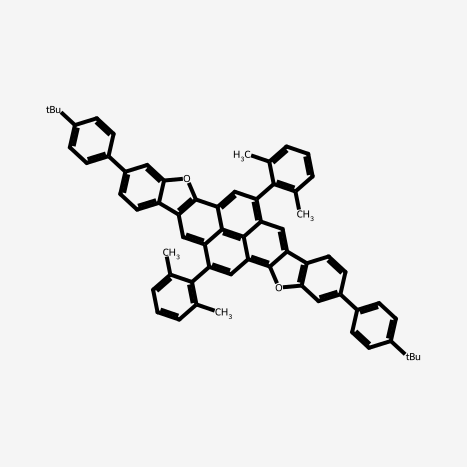 Cc1cccc(C)c1-c1cc2c3oc4cc(-c5ccc(C(C)(C)C)cc5)ccc4c3cc3c(-c4c(C)cccc4C)cc4c5oc6cc(-c7ccc(C(C)(C)C)cc7)ccc6c5cc1c4c32